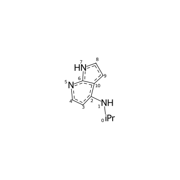 CC(C)Nc1ccnc2[nH]ccc12